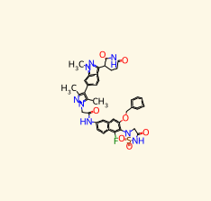 Cc1nn(CC(=O)Nc2ccc3c(F)c(N4CC(=O)NS4(=O)=O)c(OCc4ccccc4)cc3c2)c(C)c1-c1ccc2c(C3CCC(=O)NC3=O)nn(C)c2c1